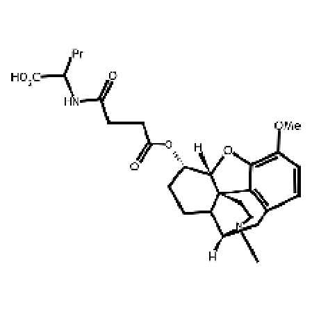 COc1ccc2c3c1O[C@H]1[C@@H](OC(=O)CCC(=O)NC(C(=O)O)C(C)C)CCC4[C@@H](C2)N(C)CC[C@@]341